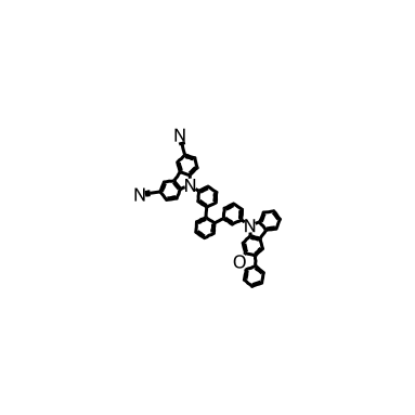 N#Cc1ccc2c(c1)c1cc(C#N)ccc1n2-c1cccc(-c2ccccc2-c2cccc(-n3c4ccccc4c4cc5c(cc43)oc3ccccc35)c2)c1